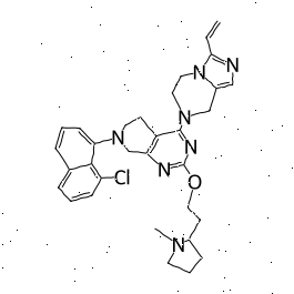 C=Cc1ncc2n1CCN(c1nc(OCCC3CCCN3C)nc3c1CCN(c1cccc4cccc(Cl)c14)C3)C2